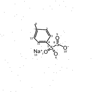 Cc1ccc(S(=O)(=O)S(=O)[O-])cc1.[Na+]